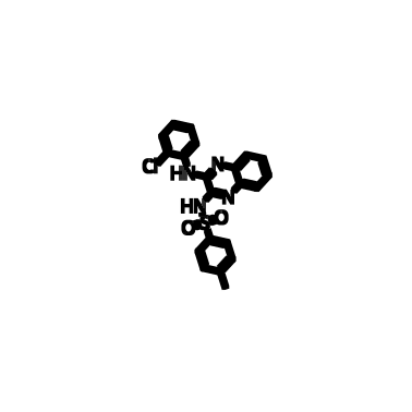 Cc1ccc(S(=O)(=O)Nc2nc3ccccc3nc2Nc2ccccc2Cl)cc1